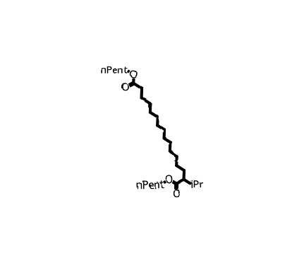 CCCCCOC(=O)CCCCCCCCCCCCCC(C(=O)OCCCCC)C(C)C